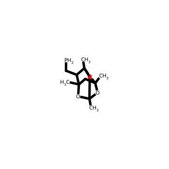 CC12CC3(C)OC(C)(CC(C)(O1)[C]3CP)O2